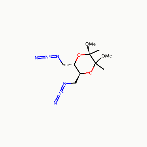 COC1(C)O[C@@H](CN=[N+]=[N-])[C@H](CN=[N+]=[N-])O[C@@]1(C)OC